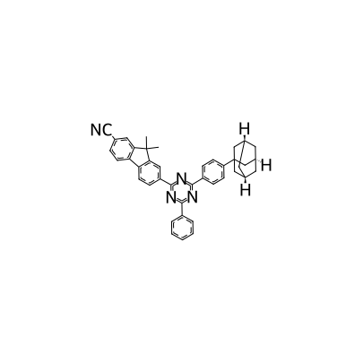 CC1(C)c2cc(C#N)ccc2-c2ccc(-c3nc(-c4ccccc4)nc(-c4ccc(C56C[C@H]7C[C@@H](C5)C[C@@H](C6)C7)cc4)n3)cc21